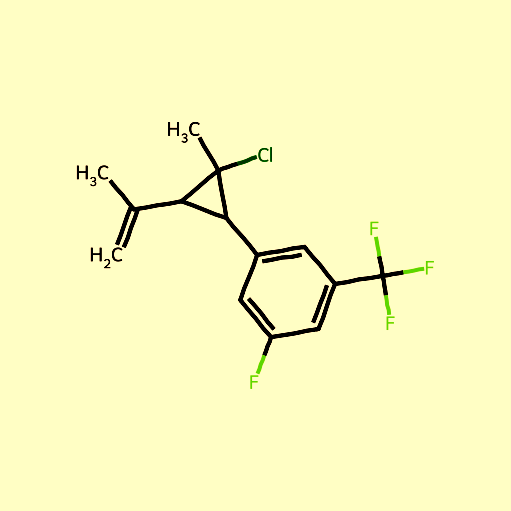 C=C(C)C1C(c2cc(F)cc(C(F)(F)F)c2)C1(C)Cl